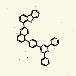 c1ccc(-c2nc(-c3ccccc3)nc(-c3ccc(-c4cccc5nc(-c6nccc7c6sc6ccccc67)ccc45)cc3)n2)cc1